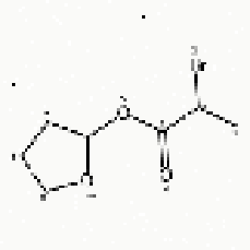 CC(Br)C(=O)OC1CCCO1